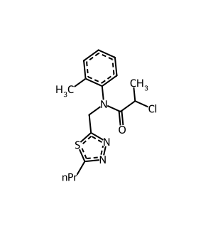 CCCc1nnc(CN(C(=O)C(C)Cl)c2ccccc2C)s1